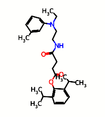 CCN(CCNC(=O)CCC(=O)Oc1c(C(C)C)cccc1C(C)C)c1cccc(C)c1